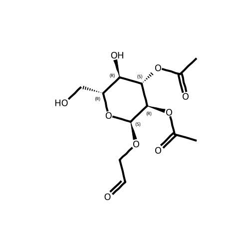 CC(=O)O[C@H]1[C@@H](OCC=O)O[C@H](CO)[C@@H](O)[C@@H]1OC(C)=O